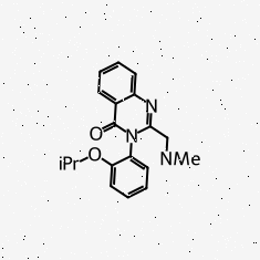 CNCc1nc2ccccc2c(=O)n1-c1ccccc1OC(C)C